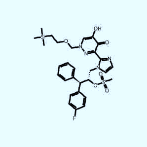 C[Si](C)(C)CCOCn1cc(O)c(=O)c(-c2nccn2C[C@H](OS(C)(=O)=O)[C@H](c2ccccc2)c2ccc(F)cc2)n1